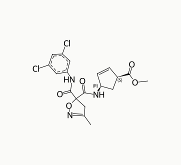 COC(=O)[C@@H]1C=C[C@H](NC(=O)C2(C(=O)Nc3cc(Cl)cc(Cl)c3)CC(C)=NO2)C1